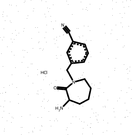 Cl.N#Cc1cccc(CN2CCCCC(N)C2=O)c1